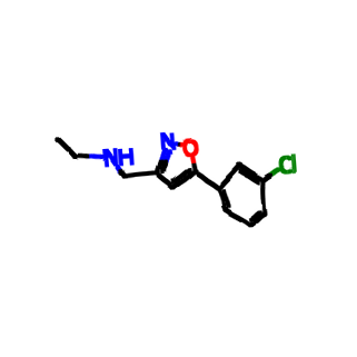 CCNCc1cc(-c2cccc(Cl)c2)on1